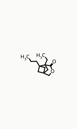 CCCC12CC3(COC(=O)C1(CC)C3)C2